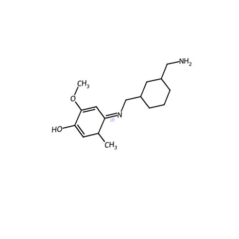 COC1=C/C(=N\CC2CCCC(CN)C2)C(C)C=C1O